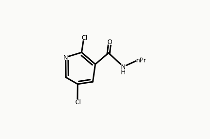 CCCNC(=O)c1cc(Cl)cnc1Cl